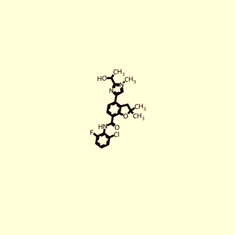 CC(O)c1nc(-c2ccc(C(=O)Nc3c(F)cccc3Cl)c3c2CC(C)(C)O3)cn1C